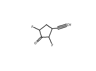 C#CC1CC(F)C(=O)C1F